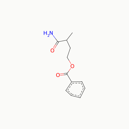 CC(CCOC(=O)c1ccccc1)C(N)=O